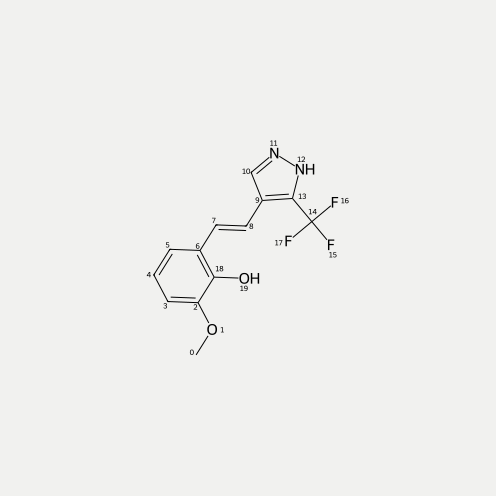 COc1cccc(C=Cc2cn[nH]c2C(F)(F)F)c1O